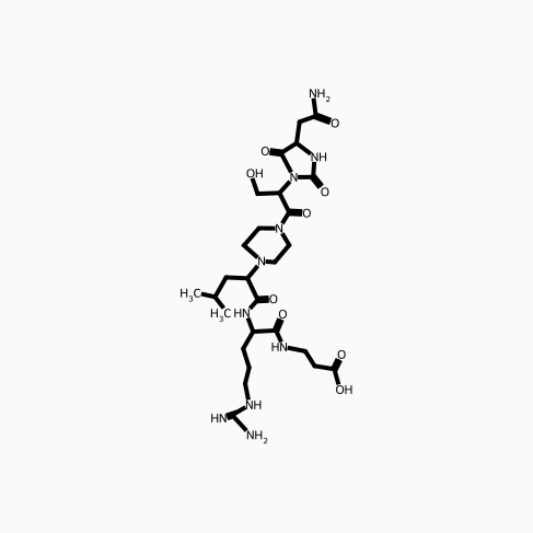 CC(C)CC(C(=O)NC(CCCNC(=N)N)C(=O)NCCC(=O)O)N1CCN(C(=O)C(CO)N2C(=O)NC(CC(N)=O)C2=O)CC1